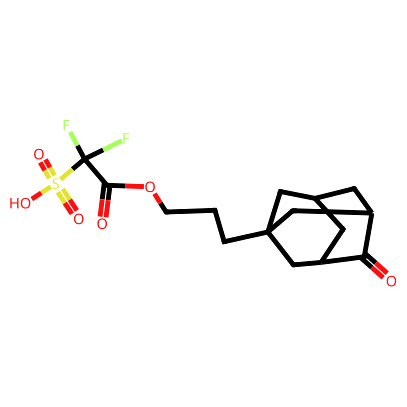 O=C1C2CC3CC1CC(CCCOC(=O)C(F)(F)S(=O)(=O)O)(C3)C2